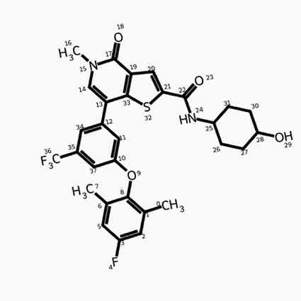 Cc1cc(F)cc(C)c1Oc1cc(-c2cn(C)c(=O)c3cc(C(=O)NC4CCC(O)CC4)sc23)cc(C(F)(F)F)c1